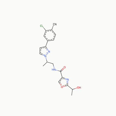 CC(O)c1nc(C(=O)NCC(C)n2ccc(-c3ccc(C#N)c(Cl)c3)n2)co1